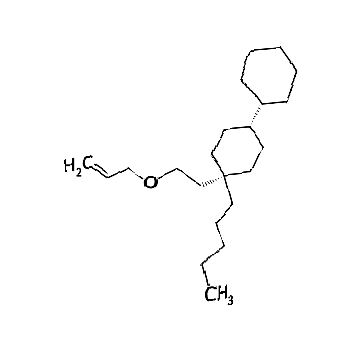 C=CCOCC[C@]1(CCCCC)CC[C@H](C2CCCCC2)CC1